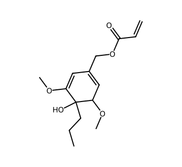 C=CC(=O)OCC1=CC(OC)C(O)(CCC)C(OC)=C1